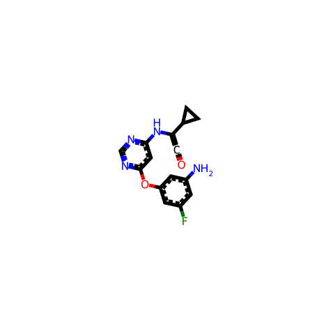 Nc1cc(F)cc(Oc2cc(NC(=C=O)C3CC3)ncn2)c1